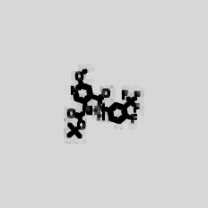 COc1cc(C(=O)Nc2ccc(F)c(C(F)(F)F)c2)c(NC(=O)OC(C)(C)C)cn1